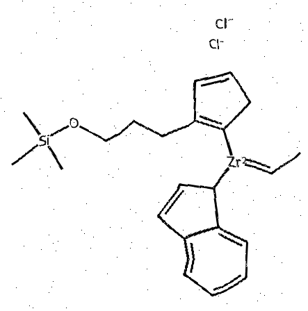 C[CH]=[Zr+2]([C]1=C(CCCO[Si](C)(C)C)C=CC1)[CH]1C=Cc2ccccc21.[Cl-].[Cl-]